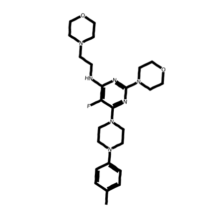 Cc1ccc(N2CCN(c3nc(N4CCOCC4)nc(NCCN4CCOCC4)c3F)CC2)cc1